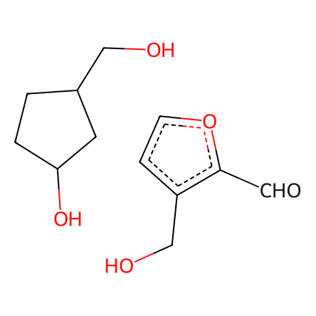 O=Cc1occc1CO.OCC1CCC(O)C1